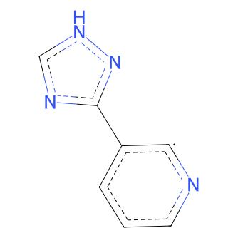 [c]1ncccc1-c1nc[nH]n1